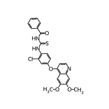 COc1cc2nccc(Oc3ccc(NC(=S)NC(=O)c4ccccc4)c(Cl)c3)c2cc1OC